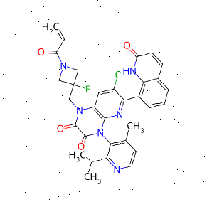 C=CC(=O)N1CC(F)(Cn2c(=O)c(=O)n(-c3c(C)ccnc3C(C)C)c3nc(-c4cccc5ccc(=O)[nH]c45)c(Cl)cc32)C1